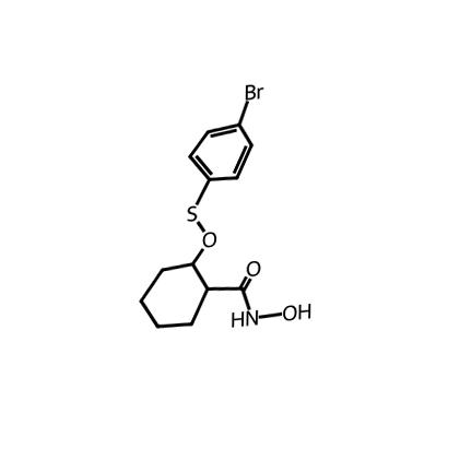 O=C(NO)C1CCCCC1OSc1ccc(Br)cc1